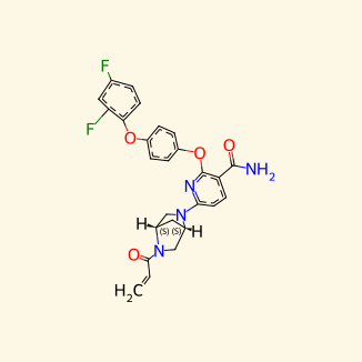 C=CC(=O)N1C[C@@H]2C[C@H]1CN2c1ccc(C(N)=O)c(Oc2ccc(Oc3ccc(F)cc3F)cc2)n1